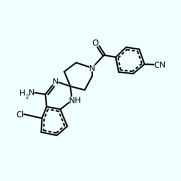 N#Cc1ccc(C(=O)N2CCC3(CC2)N=C(N)c2c(Cl)cccc2N3)cc1